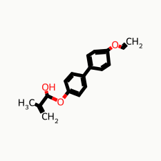 C=COc1ccc(-c2ccc(OC(O)C(=C)C)cc2)cc1